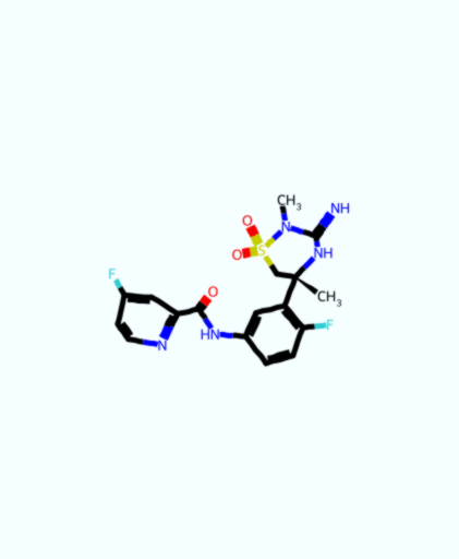 CN1C(=N)N[C@](C)(c2cc(NC(=O)c3cc(F)ccn3)ccc2F)CS1(=O)=O